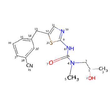 C[C@H](O)CN(C)C(=O)Nc1ncc(Cc2cccc(C#N)c2)s1